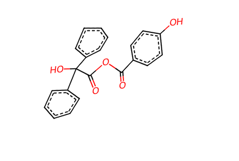 O=C(OC(=O)C(O)(c1ccccc1)c1ccccc1)c1ccc(O)cc1